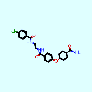 NC(=O)[C@H]1CC[C@@H](Oc2ccc(C(=O)NCCNC(=O)c3ccc(Cl)cc3)cc2)CC1